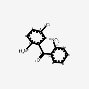 Nc1ccc(Cl)cc1C(=O)c1ccccc1[N+](=O)[O-]